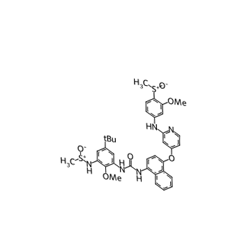 COc1cc(Nc2cc(Oc3ccc(NC(=O)Nc4cc(C(C)(C)C)cc(N[S+](C)[O-])c4OC)c4ccccc34)ccn2)ccc1[S+](C)[O-]